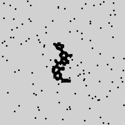 COc1cnc2ccn(C(C)c3nnc4c(F)cc(-c5cc(C)no5)cn34)c(=O)c2c1